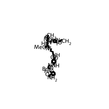 C=CC(=O)N[C@@H]1CN(c2nc(Nc3cn(CCCCNS(=O)(=O)c4ccc(Nc5ncc(Br)c(Nc6cccc(F)c6C(N)=O)n5)cc4)nc3OC)c3ncn(C)c3n2)CC1F